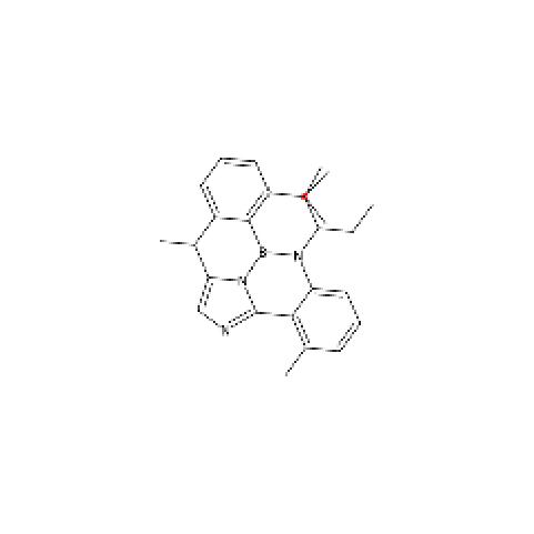 CCC(CC)N1B2c3c(C(C)C)cccc3C(C)c3cnc(n32)-c2c(C)cccc21